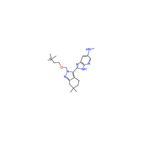 CNc1cnc2[nH]c(-c3c4c(nn3COCC[Si](C)(C)C)CC(C)(C)CC4)nc2c1